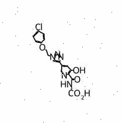 O=C(O)CNC(=O)c1ncc(-c2cn(CCOc3ccc(Cl)cc3)nn2)cc1O